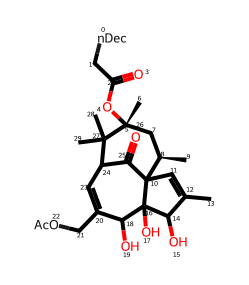 CCCCCCCCCCCC(=O)O[C@]1(C)C[C@@H](C)C23C=C(C)C(O)C2(O)C(O)C(COC(C)=O)=CC(C3=O)C1(C)C